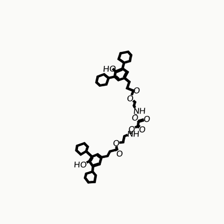 O=C(CCc1cc(C2CCCCC2)c(O)c(C2CCCCC2)c1)OCCNOC(=O)C(=O)ONCCOC(=O)CCc1cc(C2CCCCC2)c(O)c(C2CCCCC2)c1